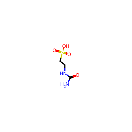 NC(=O)NCCS(=O)(=O)O